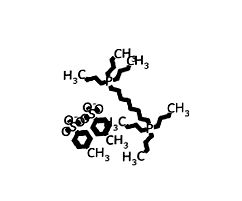 CCCC[P+](CCCC)(CCCC)CCCCCCCC[P+](CCCC)(CCCC)CCCC.Cc1ccc(S(=O)(=O)[O-])cc1.Cc1ccc(S(=O)(=O)[O-])cc1